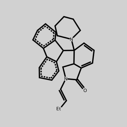 CCC=CN1CC2C(=CC=CC2(C2c3ccccc3-c3ccccc32)N2CCCCC2)C1=O